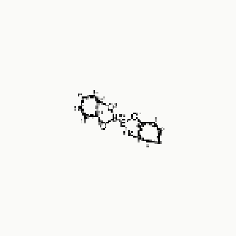 c1ccc2c(c1)OB(B1Oc3ccccc3O1)O2